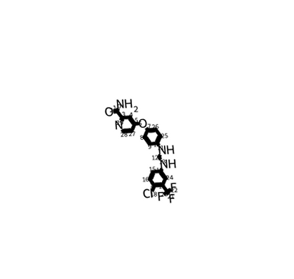 NC(=O)c1cc(Oc2ccc(NCNc3ccc(Cl)c(C(F)(F)F)c3)cc2)ccn1